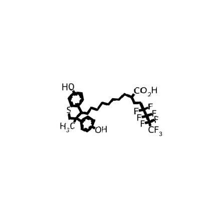 CC1(c2ccc(O)cc2)CSc2cc(O)ccc2C1CCCCCCCCC(CCC(F)(F)C(F)(F)C(F)(F)C(F)(F)F)C(=O)O